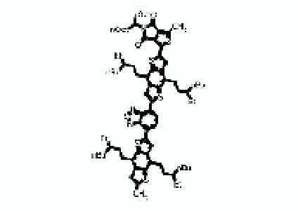 CCCCCCCCC(CCCCCCCC)N1C(=O)c2c(C)sc(-c3cc4c(CCC(CC)CCCC)c5sc(-c6ccc(-c7cc8c(CCC(CC)CCCC)c9sc(C)cc9c(CCC(CC)CCCC)c8s7)c7nsnc67)cc5c(CCC(CC)CCCC)c4s3)c2C1=O